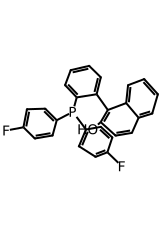 Oc1ccc2ccccc2c1-c1ccccc1P(c1ccc(F)cc1)c1ccc(F)cc1